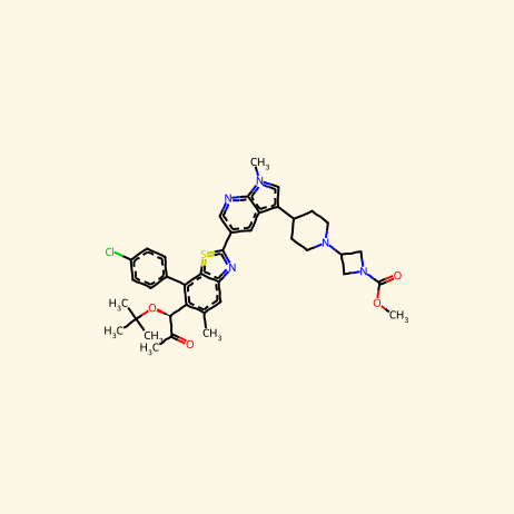 COC(=O)N1CC(N2CCC(c3cn(C)c4ncc(-c5nc6cc(C)c([C@H](OC(C)(C)C)C(C)=O)c(-c7ccc(Cl)cc7)c6s5)cc34)CC2)C1